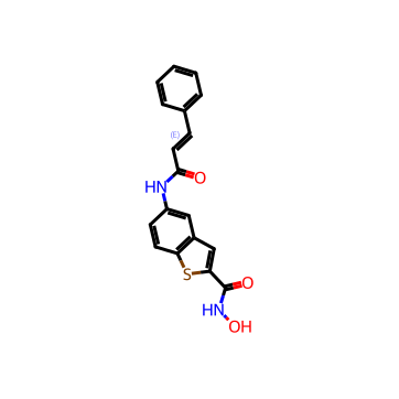 O=C(/C=C/c1ccccc1)Nc1ccc2sc(C(=O)NO)cc2c1